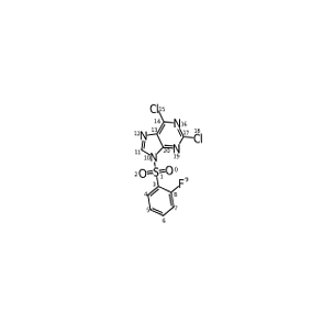 O=S(=O)(c1ccccc1F)n1cnc2c(Cl)nc(Cl)nc21